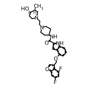 C[C@H]1CN(CCN2CCC(NC(=O)c3cc4c(OCc5coc6cc(F)cc(F)c56)cccc4[nH]3)CC2)CC[C@@H]1O